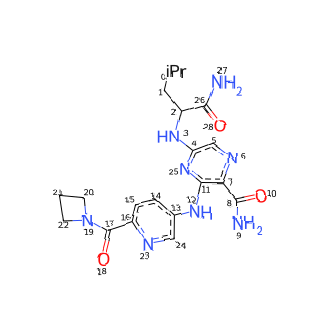 CC(C)CC(Nc1cnc(C(N)=O)c(Nc2ccc(C(=O)N3CCC3)nc2)n1)C(N)=O